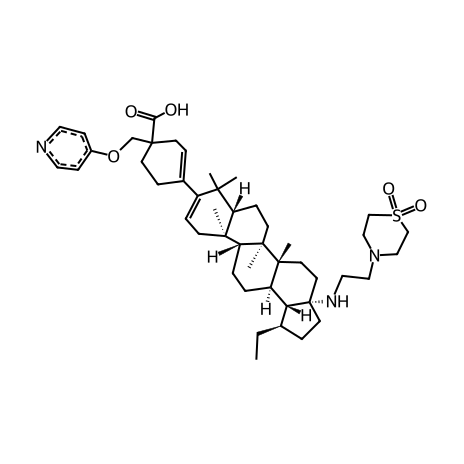 CC[C@@H]1CC[C@]2(NCCN3CCS(=O)(=O)CC3)CC[C@]3(C)[C@H](CC[C@@H]4[C@@]5(C)CC=C(C6=CCC(COc7ccncc7)(C(=O)O)CC6)C(C)(C)[C@@H]5CC[C@]43C)[C@@H]12